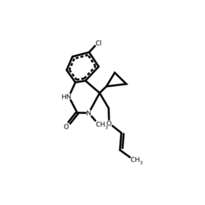 CC=COCC1(C2CC2)c2cc(Cl)ccc2NC(=O)N1C